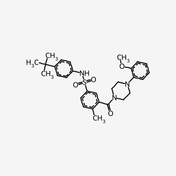 COc1ccccc1N1CCN(C(=O)c2cc(S(=O)(=O)Nc3ccc(C(C)(C)C)cc3)ccc2C)CC1